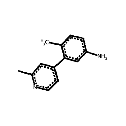 Cc1cc(-c2cc(N)ccc2C(F)(F)F)ccn1